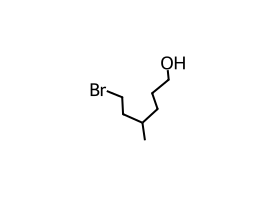 CC(CCBr)CCCO